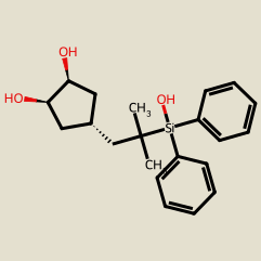 CC(C)(C[C@@H]1C[C@@H](O)[C@@H](O)C1)[Si](O)(c1ccccc1)c1ccccc1